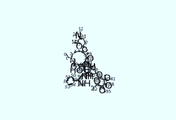 CC[C@H]1CCC[C@H](O[C@H]2CC[C@H](N(C)C)C(C)O2)[C@@H](C)C(=O)C2=C[C@H]3[C@@H]4C[C@H](O[C@@H]5OC(C)[C@H](OC)C(OC)C5OC)C[C@H]4C(N/C=C(\N)c4ccccc4)C(O)[C@H]3[C@@H]2CC(=O)O1